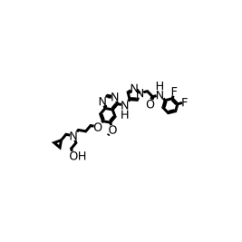 COc1cc2c(Nc3cnn(CC(=O)Nc4cccc(F)c4F)c3)ncnc2cc1OCCCN(CCO)CC1CC1